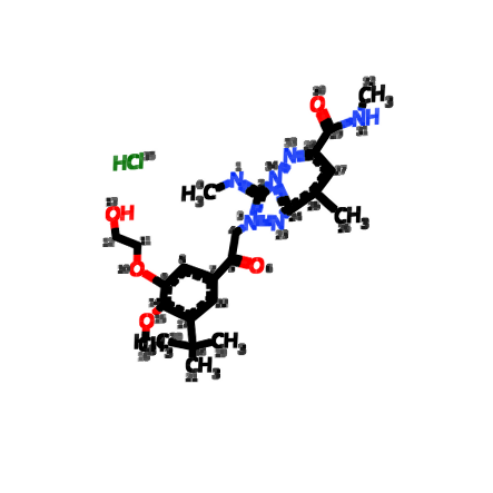 CN=c1n(CC(=O)c2cc(OCCO)c(OC)c(C(C)(C)C)c2)nc2c(C)cc(C(=O)NC)nn12.Cl